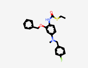 CCSC(=O)Nc1ccc(N(C)Cc2ccc(F)cc2)cc1OCc1ccccc1